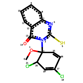 COC1(n2c(S)nc3ccccc3c2=O)C=CC(Cl)=CC1Cl